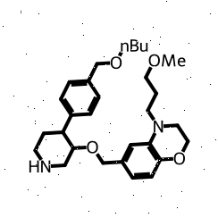 CCCCOCc1ccc(C2CCNCC2OCc2ccc3c(c2)N(CCCOC)CCO3)cc1